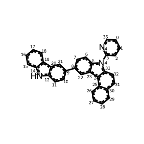 c1ccc(-n2c3ccc(-c4ccc5[nH]c6ccccc6c5c4)cc3c3c4ccccc4ccc32)nc1